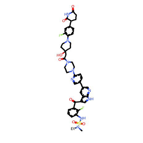 CCN(C)S(=O)(=O)Nc1cccc(C(=O)c2c[nH]c3ncc(-c4ccc(N5CCN(C(=O)CC6(O)CCN(c7ccc(C8CCC(=O)NC8=O)cc7F)CC6)CC5)nc4)cc23)c1F